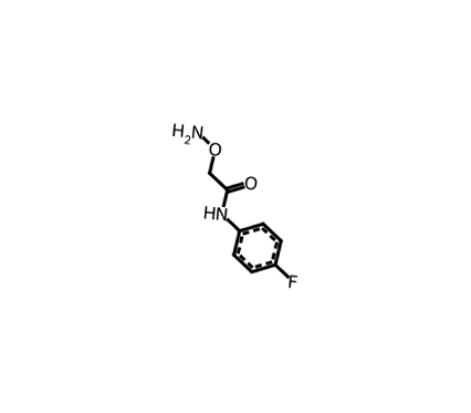 NOCC(=O)Nc1ccc(F)cc1